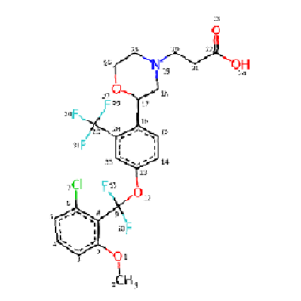 COc1cccc(Cl)c1C(F)(F)Oc1ccc(C2CN(CCC(=O)O)CCO2)c(C(F)(F)F)c1